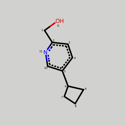 OCc1ccc(C2CCC2)cn1